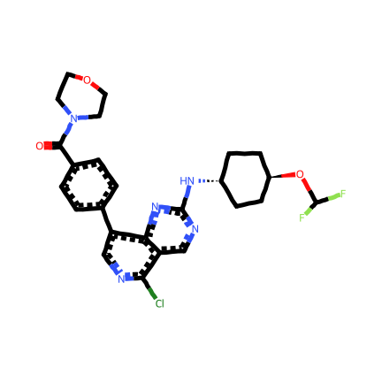 O=C(c1ccc(-c2cnc(Cl)c3cnc(N[C@H]4CC[C@H](OC(F)F)CC4)nc23)cc1)N1CCOCC1